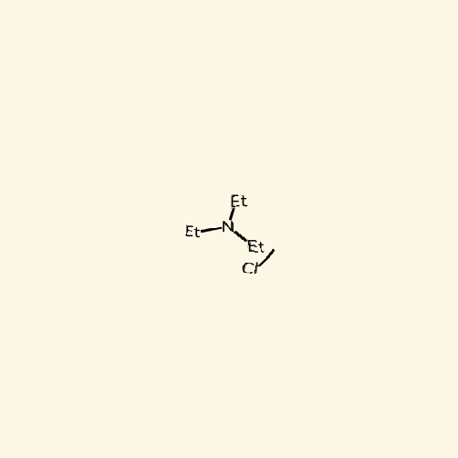 CCN(CC)CC.CCl